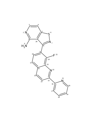 Nc1nccc2snc(-c3ccc4ccc(-c5ccccn5)nc4c3F)c12